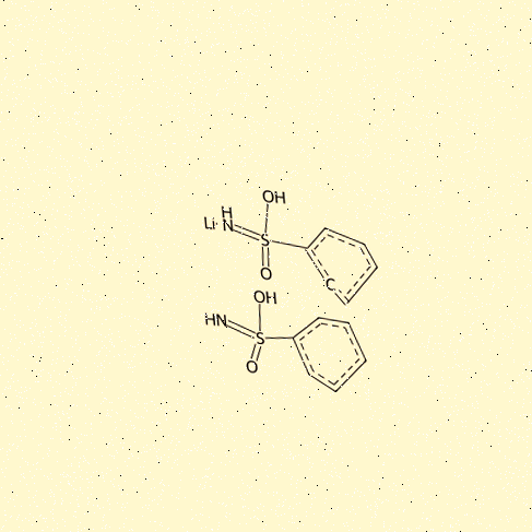 N=S(=O)(O)c1ccccc1.N=S(=O)(O)c1ccccc1.[Li]